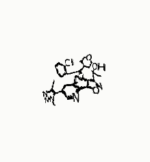 Cc1nnn(C)c1-c1cnc2c3onc(C(C)(C)O)c3n(C(c3ccccc3Cl)C3CCOCC3)c2c1